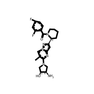 Cc1cn2nc([C@@H]3CCCCN3C(=O)c3ccc(F)cc3F)cc2nc1N1C[C@@H](N)[C@@H](O)C1